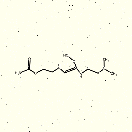 CN(C)CCNC(=CNCCOC(N)=O)OO